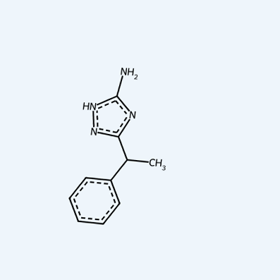 CC(c1ccccc1)c1n[nH]c(N)n1